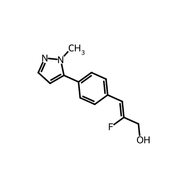 Cn1nccc1-c1ccc(C=C(F)CO)cc1